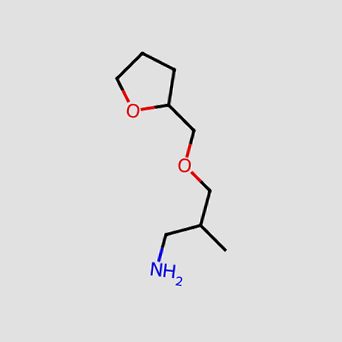 CC(CN)COCC1CCCO1